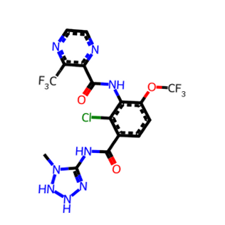 CN1NNN=C1NC(=O)c1ccc(OC(F)(F)F)c(NC(=O)c2nccnc2C(F)(F)F)c1Cl